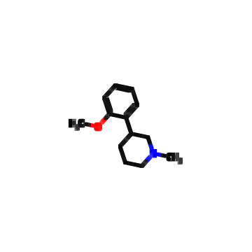 COc1ccccc1C1CCCN(C)C1